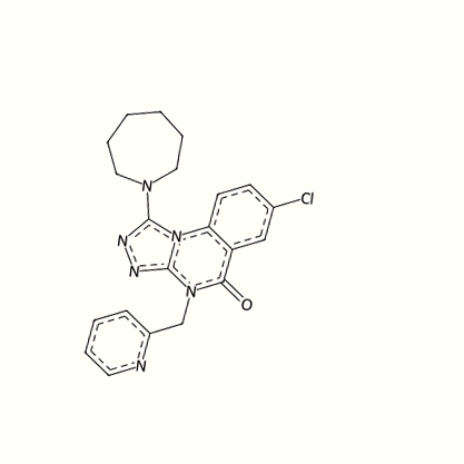 O=c1c2cc(Cl)ccc2n2c(N3CCCCCC3)nnc2n1Cc1ccccn1